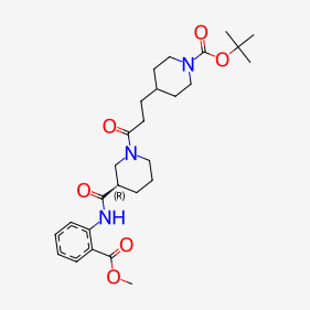 COC(=O)c1ccccc1NC(=O)[C@@H]1CCCN(C(=O)CCC2CCN(C(=O)OC(C)(C)C)CC2)C1